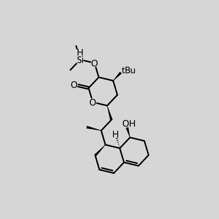 C[C@@H](C[C@@H]1C[C@H](C(C)(C)C)C(O[SiH](C)C)C(=O)O1)[C@@H]1CC=CC2=CCC[C@H](O)[C@@H]21